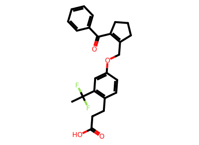 CC(F)(F)c1cc(OCC2=C(C(=O)c3ccccc3)CCC2)ccc1CCC(=O)O